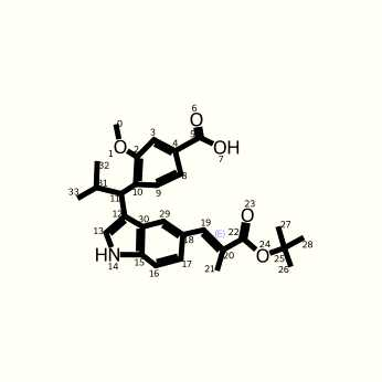 COc1cc(C(=O)O)ccc1C(c1c[nH]c2ccc(/C=C(\C)C(=O)OC(C)(C)C)cc12)C(C)C